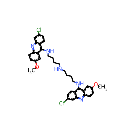 COc1ccc2nc3cc(Cl)ccc3c(NCCCCNCCCCNc3c4ccc(Cl)cc4nc4ccc(OC)cc34)c2c1